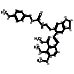 COC(=O)c1c(/C=C/c2cc3c(cc2CCNC(=O)OCc2ccc(OC)cc2)OCO3)ccc(OC)c1OC